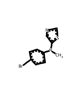 CN(c1ccc(Br)cc1)c1cncs1